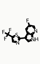 Fc1cnc2[nH]cc(-c3ncc(C(F)(F)F)s3)c2c1